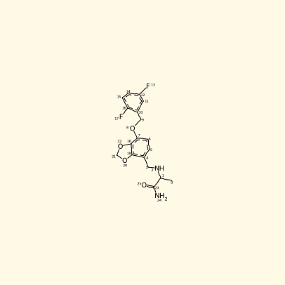 CC(NCc1ccc(OCc2cc(F)ccc2F)c2c1OCO2)C(N)=O